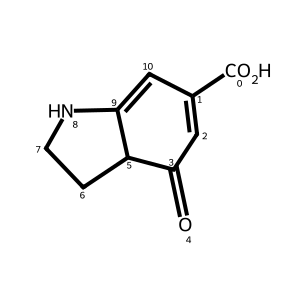 O=C(O)C1=CC(=O)C2CCNC2=C1